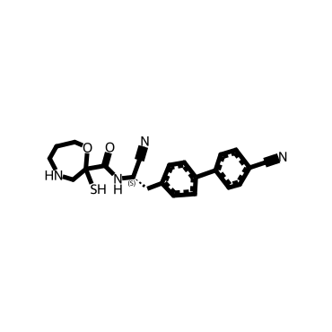 N#Cc1ccc(-c2ccc(C[C@@H](C#N)NC(=O)C3(S)CNCCCO3)cc2)cc1